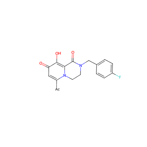 CC(=O)c1cc(=O)c(O)c2n1CCN(Cc1ccc(F)cc1)C2=O